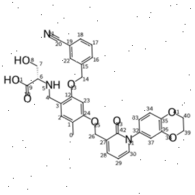 Cc1cc(CN[C@@H](CO)C(=O)O)c(OCc2cccc(C#N)c2)cc1OCc1cccn(-c2ccc3c(c2)OCCO3)c1=O